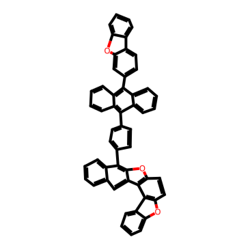 c1ccc2c(-c3ccc(-c4c5ccccc5c(-c5ccc6c(c5)oc5ccccc56)c5ccccc45)cc3)c3oc4ccc5oc6ccccc6c5c4c3cc2c1